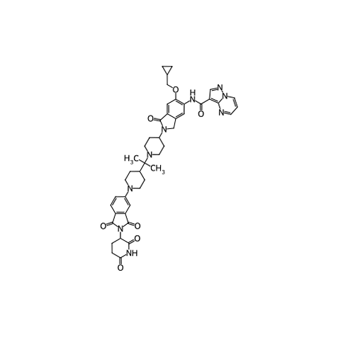 CC(C)(C1CCN(c2ccc3c(c2)C(=O)N(C2CCC(=O)NC2=O)C3=O)CC1)N1CCC(N2Cc3cc(NC(=O)c4cnn5cccnc45)c(OCC4CC4)cc3C2=O)CC1